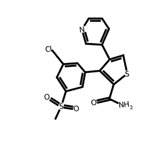 CS(=O)(=O)c1cc(Cl)cc(-c2c(-c3cccnc3)csc2C(N)=O)c1